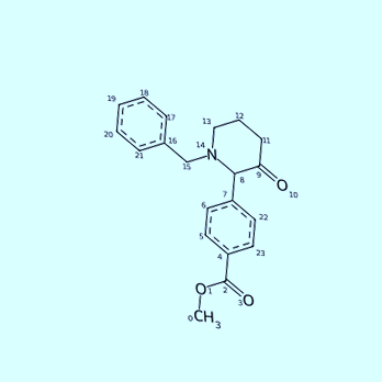 COC(=O)c1ccc(C2C(=O)CCCN2Cc2ccccc2)cc1